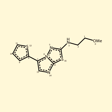 COCCNc1nn2c(-c3cccs3)cnc2s1